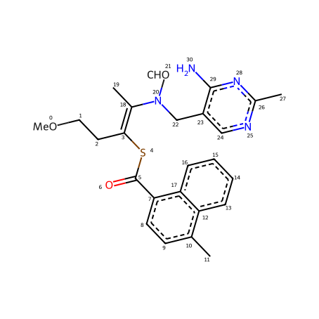 COCC/C(SC(=O)c1ccc(C)c2ccccc12)=C(\C)N(C=O)Cc1cnc(C)nc1N